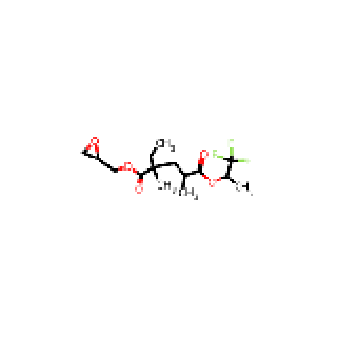 CCC(C)(CC(C)C(=O)OC(C)C(F)(F)F)C(=O)OCC1CO1